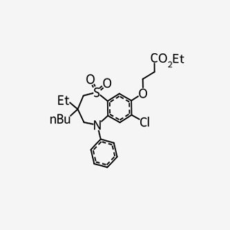 CCCCC1(CC)CN(c2ccccc2)c2cc(Cl)c(OCCC(=O)OCC)cc2S(=O)(=O)C1